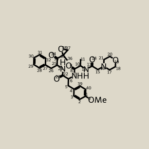 COc1ccc(CC(NC(=O)C(C)NC(=O)CN2CCOCC2)C(=O)NC(Cc2ccccc2)C(=O)C2(C)CO2)cc1